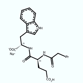 CC(C)CC(=O)N[C@@H](CCC(=O)O)C(=O)N[C@@H](Cc1c[nH]c2ccccc12)C(=O)[O-].[Na+]